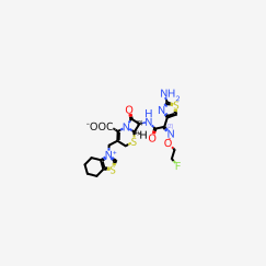 Nc1nc(/C(=N/OCCF)C(=O)N[C@@H]2C(=O)N3C(C(=O)[O-])=C(C[n+]4csc5c4CCCC5)CS[C@H]23)cs1